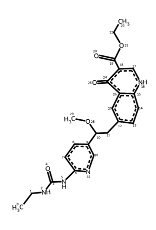 CCNC(=O)Nc1ccc(C(Cc2ccc3[nH]cc(C(=O)OCC)c(=O)c3c2)OC)cn1